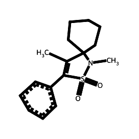 CC1=C(c2ccccc2)S(=O)(=O)N(C)C12CCCCC2